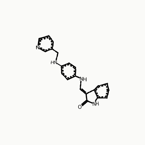 O=C1Nc2ccccc2/C1=C\Nc1ccc(NCc2cccnc2)cc1